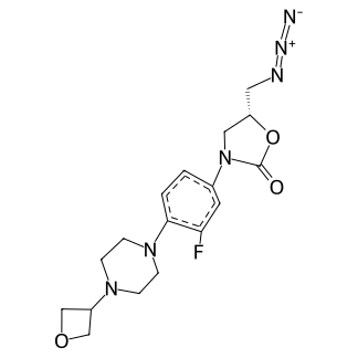 [N-]=[N+]=NC[C@H]1CN(c2ccc(N3CCN(C4COC4)CC3)c(F)c2)C(=O)O1